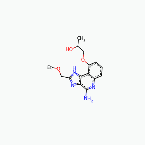 CCOCc1nc2c(N)nc3cccc(OCC(C)O)c3c2[nH]1